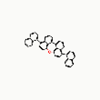 c1ccc2c(-c3ccc4oc5ccc(-c6cccc7ccccc67)c6cccc(c7cccc3c47)c56)cccc2c1